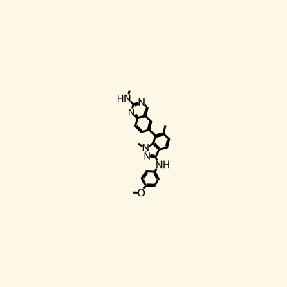 CNc1ncc2cc(-c3c(C)ccc4c(Nc5ccc(OC)cc5)nn(C)c34)ccc2n1